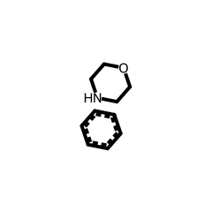 C1COCCN1.c1ccccc1